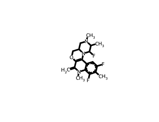 C=C1C2=C(c3cc(F)c(C)c(F)c3N1C)N1C(CO2)CN(C)C(C)C1F